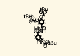 CC(C)(C)OC(=O)COc1ccc(C(=O)NNC(=O)c2cccc(CNC(=O)OC(C)(C)C)c2)cc1OCC(=O)OC(C)(C)C